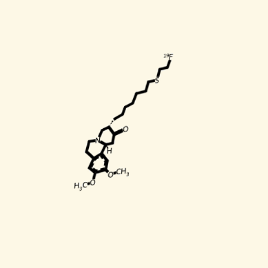 COc1cc2c(cc1OC)[C@@H]1CC(=O)[C@@H](CCCCCCCSCC[19F])CN1CC2